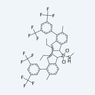 CCCC1=Cc2c(ccc(C)c2-c2cc(C(F)(F)F)cc(C(F)(F)F)c2)[CH]1[Zr]([Cl])([Cl])([CH]1C(CCC)=Cc2c1ccc(C)c2-c1cc(C(F)(F)F)cc(C(F)(F)F)c1)[SiH](C)C